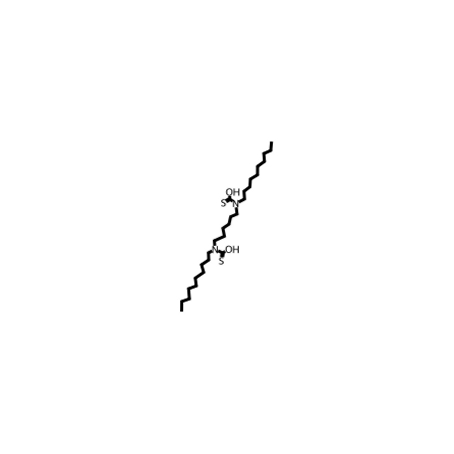 CCCCCCCCCCN(CCCCCCN(CCCCCCCCCC)C(O)=S)C(O)=S